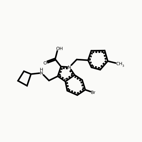 Cc1ccc(Cn2c(C(=O)O)c(CNC3CCC3)c3ccc(Br)cc32)cc1